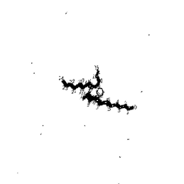 CCCCCCCCC(CCC)OC(CCC)CCCCCCCC